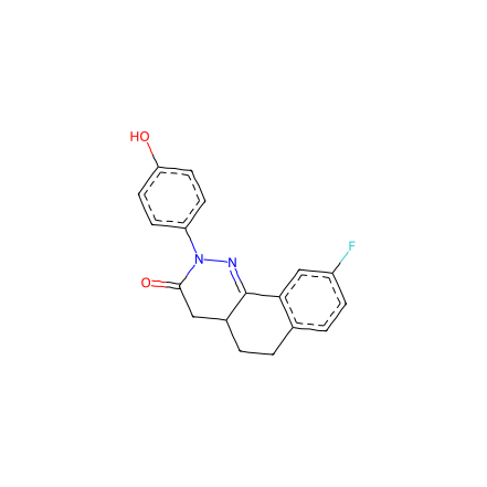 O=C1CC2CCc3ccc(F)cc3C2=NN1c1ccc(O)cc1